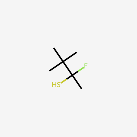 CC(C)(C)C(C)(F)S